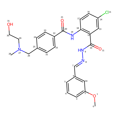 COc1cccc(C=NNC(=O)c2cc(Cl)ccc2NC(=O)c2ccc(CN(C)CCO)cc2)c1